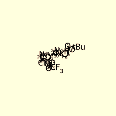 CC(C)(C)OC(=O)N1CCC[C@H](n2cc(-c3cc(OS(=O)(=O)C(F)(F)F)c4c(C#N)cnn4c3)cn2)C1